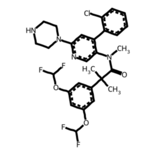 CN(C(=O)C(C)(C)c1cc(OC(F)F)cc(OC(F)F)c1)c1cnc(N2CCNCC2)cc1-c1ccccc1Cl